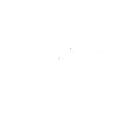 COc1ccc2c(c1)[C@@]1(C)CCN(C)[C@H](C2)[C@H]1N(CCO)CCc1ccc(F)cc1